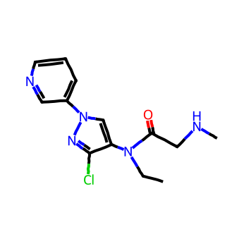 CCN(C(=O)CNC)c1cn(-c2cccnc2)nc1Cl